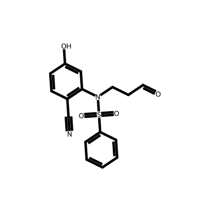 N#Cc1ccc(O)cc1N(CCC=O)S(=O)(=O)c1ccccc1